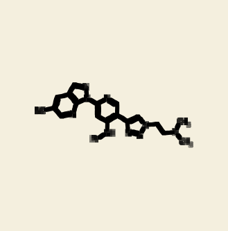 CC(C)Nc1cc(-n2ncc3cc(C#N)cnc32)ncc1-c1cn(CCN(C)C)nn1